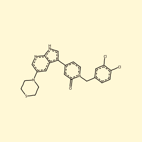 O=c1cc(-c2c[nH]c3ncc(N4CCSCC4)cc23)ccn1Cc1ccc(Cl)c(Cl)c1